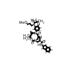 COCCCN1C(=O)C(C)(C)Oc2ccc(N3C(=O)[C@@H]4C[C@H](C(=O)NC5Cc6ccccc6C5)CN(C4)C(=O)OC(C)(C)C4CC43)cc21